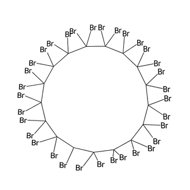 BrC1C(Br)(Br)C(Br)(Br)C(Br)(Br)C(Br)(Br)C(Br)(Br)C(Br)(Br)C(Br)(Br)C(Br)(Br)C(Br)(Br)C(Br)(Br)C(Br)(Br)C(Br)(Br)C(Br)(Br)C(Br)(Br)C(Br)(Br)C1(Br)Br